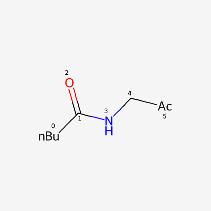 CCCCC(=O)NCC(C)=O